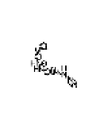 O=C(Nc1ccc(Oc2ccccc2)cc1)Nc1ccc2cn(CCNCCN3CCOCC3)nc2c1